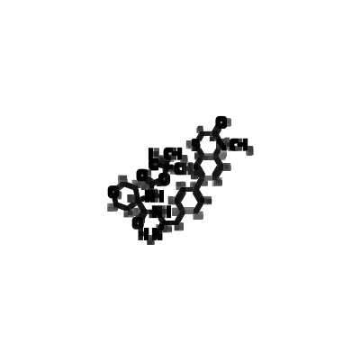 CN1C(=O)CSc2cc(-c3ccc(C[C@@H](N)NC(=O)C4(NC(=O)OC(C)(C)C)CCOCC4)cc3)ccc21